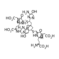 Nc1nc(O)cc(C(CC(=O)CC(SC[C@H](NC(=O)CC[C@@H](N)C(=O)O)C(=O)NCC(=O)O)c2ncc(O)c(N)n2)SC[C@H](NC(=O)CC[C@H](N)C(=O)O)C(=O)NCC(=O)O)n1